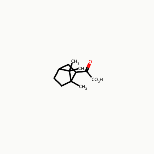 CC1(C)C2CCC1(C)C(C(=O)C(=O)O)C2